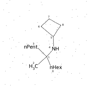 CCCCCCC(C)(CCCCC)NC1CCC1